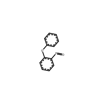 O=Pc1ccccc1Oc1ccccc1